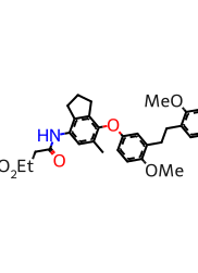 CCOC(=O)CC(=O)Nc1cc(C)c(Oc2ccc(OC)c(CCc3ccccc3OC)c2)c2c1CCC2